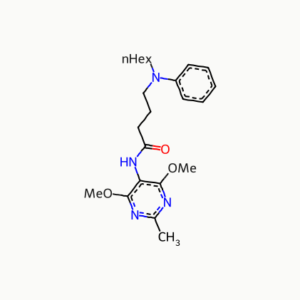 CCCCCCN(CCCC(=O)Nc1c(OC)nc(C)nc1OC)c1ccccc1